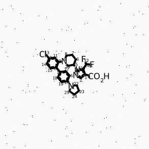 O=C(O)c1cnn(C2CCCN(c3cc(Cl)ccc3-c3ccc(N4CCCC4)cc3)C2)c1C(F)F